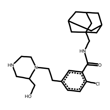 O=C(NCC12CC3CC(CC(C3)C1)C2)c1cc(CCN2CCNCC2CO)ccc1Cl